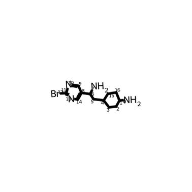 NC1CCC(CC(N)c2cnc(Br)nc2)CC1